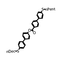 CCCCCCCCCCSc1ccc(-c2ccc(OC(=O)c3ccc(-c4ccc(SCCCCC)cc4)cc3)cc2)cc1